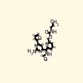 C=CCNC(=O)OCc1cccc(C(NC=O)c2cc(-c3ccco3)nc(N)n2)n1